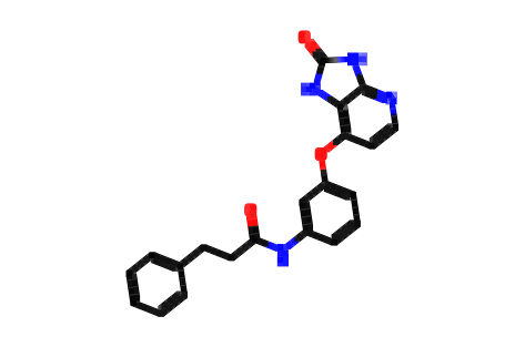 O=C(CCc1ccccc1)Nc1cccc(Oc2ccnc3[nH]c(=O)[nH]c23)c1